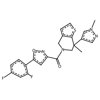 Cn1cc(C2(C)CN(C(=O)c3cc(-c4ccc(F)cc4F)on3)Cc3ccsc32)cn1